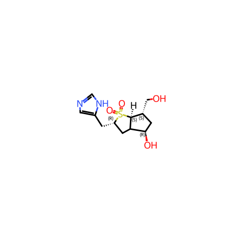 O=S1(=O)[C@@H](Cc2cnc[nH]2)CC2[C@H](O)C[C@@H](CO)[C@@H]21